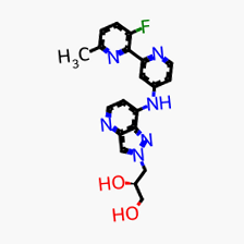 Cc1ccc(F)c(-c2cc(Nc3ccnc4cn(C[C@H](O)CO)nc34)ccn2)n1